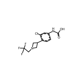 O=C(O)Nc1ccc(C2CN(CC(F)(F)F)C2)c(Cl)c1